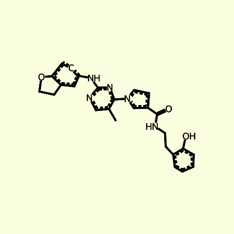 Cc1cnc(Nc2ccc3c(c2)CCO3)nc1-n1ccc(C(=O)NCCc2ccccc2O)c1